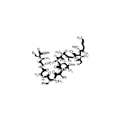 C=C(C(=O)N(C)[C@@H](CC(C)(C)OC)C(=O)N[C@H](C(=O)N(C)[C@H](CC(C)C)C(=O)N[C@@H](C)C(=O)N[C@@H](C)C(=O)N(C)[C@@H](CC(C)C)C(=O)NC)C(C)C)N(C)C(=O)[C@H](CC)NC(=O)C([C@H](O)[C@H](C)C/C=C/C)N(C)C(=O)CC(C)C